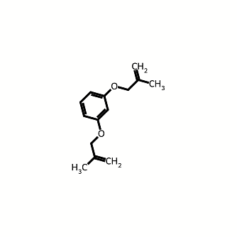 C=C(C)COc1cccc(OCC(=C)C)c1